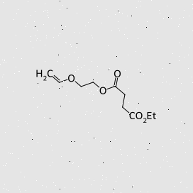 C=COCCOC(=O)CCC(=O)OCC